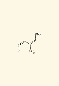 CN/C=C(C)\C=C/I